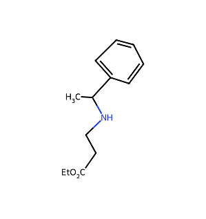 CCOC(=O)CCNC(C)c1ccccc1